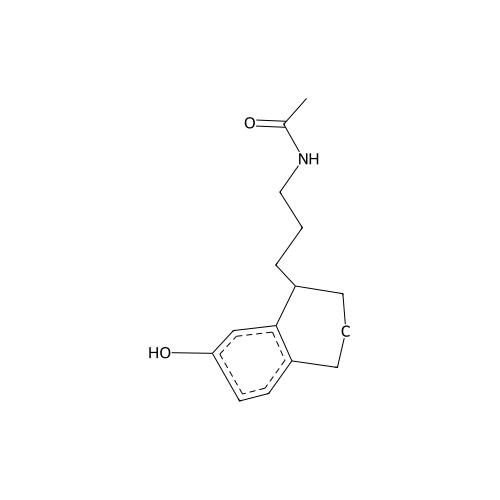 CC(=O)NCCCC1CCCc2ccc(O)cc21